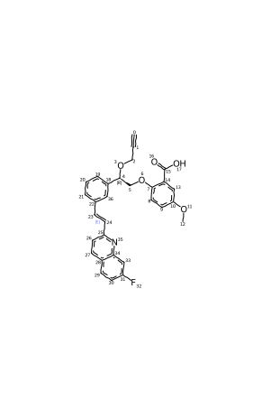 C#CCO[C@@H](COc1ccc(OC)cc1C(=O)O)c1cccc(/C=C/c2ccc3ccc(F)cc3n2)c1